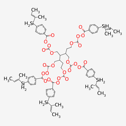 C/C=C(\C)[SiH2]c1ccc(C(=O)OOC(=O)OCCC(COC(=O)OOC(=O)c2ccc([SiH2]/C(C)=C/C)cc2)C(COC(=O)OOC(=O)c2ccc([SiH2]/C(C)=C/C)cc2)C(CCOC(=O)OOC(=O)c2ccc([SiH2]/C(C)=C/C)cc2)COC(=O)OOC(=O)c2ccc([SiH2]/C(C)=C/C)cc2)cc1